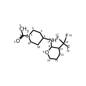 CC(=O)N1CCC(NC2OCC[C]C2C(F)(F)F)CC1